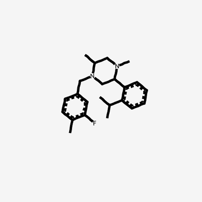 Cc1ccc(CN2CC(c3ccccc3C(C)C)N(C)CC2C)cc1F